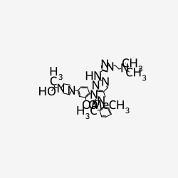 COc1cc(N2CCN(C(C)O)CC2)ccc1N1C(=O)N(c2c(C)cccc2C)Cc2cnc(Nc3cnn(CCN(C)C)c3)nc21